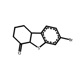 O=C1CCCC2c3ccc(Br)cc3SC12